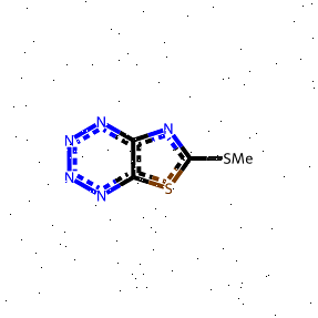 CSc1nc2nnnnc2s1